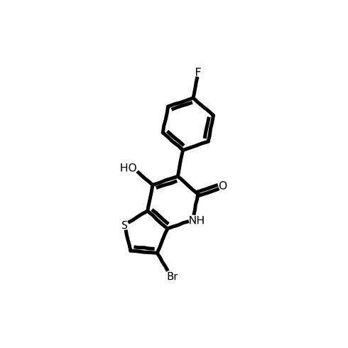 O=c1[nH]c2c(Br)csc2c(O)c1-c1ccc(F)cc1